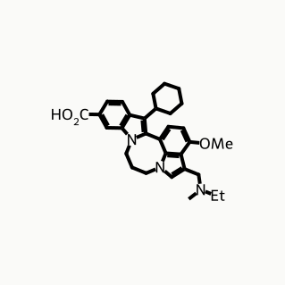 CCN(C)Cc1cn2c3c(ccc(OC)c13)-c1c(C3CCCCC3)c3ccc(C(=O)O)cc3n1CCC2